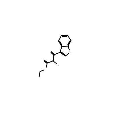 CCOC(=O)C(N)C(=O)c1c[nH]c2ccccc12